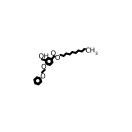 CCCCCCCCCCOC(=O)c1ccc(OCCOc2ccccc2)c(CO)c1